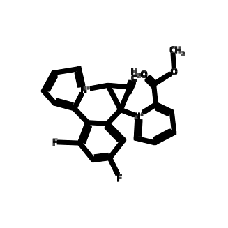 C=C1C2[n+]3ccccc3-c3c(F)cc(F)cc3C12[n+]1ccccc1C(=O)OC